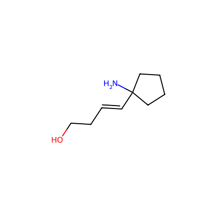 NC1(C=CCCO)CCCC1